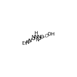 CCN1CCN(c2ccc(Nc3nccc(OCC4CCC(O)CC4)n3)nc2)CC1